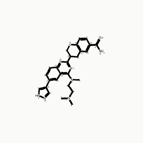 CN(C)CCN(C)c1nc(C2COc3ccc(C(N)=O)cc3C2)nc2ccc(-c3cn[nH]c3)cc12